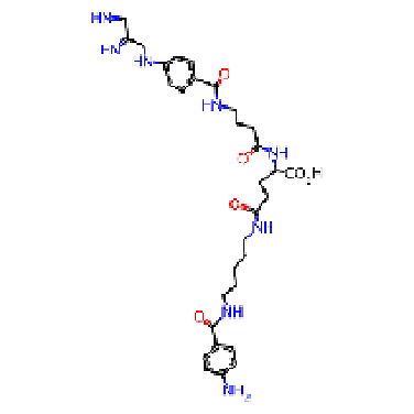 N=CC(=N)CNc1ccc(C(=O)NCCCC(=O)NC(CCC(=O)NCCCCCNC(=O)c2ccc(N)cc2)C(=O)O)cc1